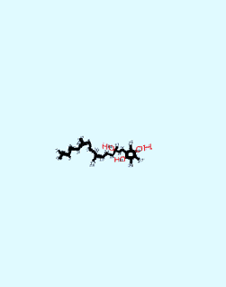 CC(C)=CCCC(C)=CCCC(C)=CCCC(C)(O)CCc1c(C)c(O)c(C)c(C)c1O